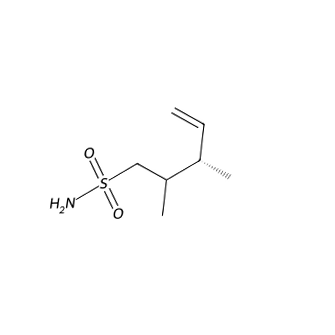 C=C[C@H](C)C(C)CS(N)(=O)=O